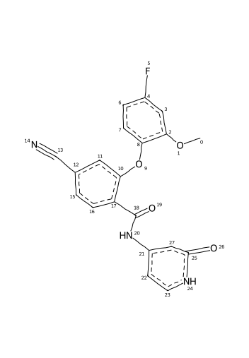 COc1cc(F)ccc1Oc1cc(C#N)ccc1C(=O)Nc1cc[nH]c(=O)c1